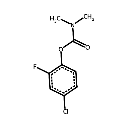 CN(C)C(=O)Oc1ccc(Cl)cc1F